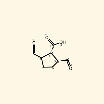 O=CC1CC[C@H](C=O)[C@H]1C(=O)O